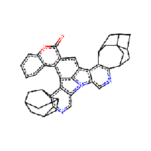 O=c1oc2ccccc2c2c1cc1c3c4c(ncc3n3c5cnc6c(c5c2c13)C1CC2CC(CC6C2)C1)C1CC2CC3CC4CC23C1